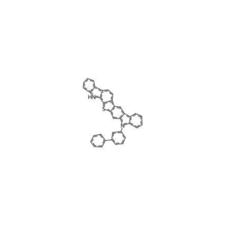 c1ccc(-c2cccc(-n3c4ccccc4c4cc5c(cc43)sc3c5ccc4c5ccccc5[nH]c43)c2)cc1